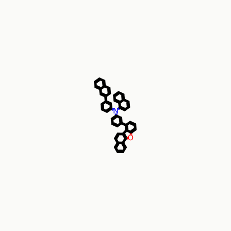 c1cc(-c2ccc3ccccc3c2)cc(N(c2cccc(-c3cccc4oc5c6ccccc6ccc5c34)c2)c2cccc3ccccc23)c1